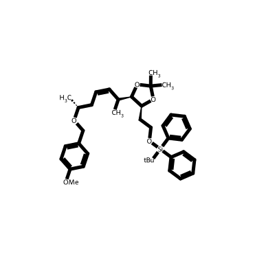 COc1ccc(CO[C@H](C)C/C=C\C(C)[C@H]2OC(C)(C)O[C@H]2CCO[Si](c2ccccc2)(c2ccccc2)C(C)(C)C)cc1